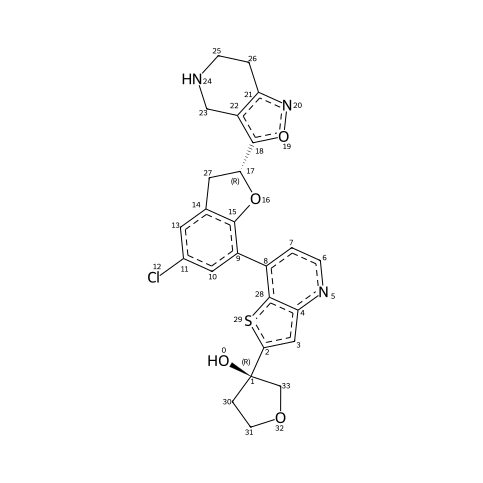 O[C@]1(c2cc3nccc(-c4cc(Cl)cc5c4O[C@@H](c4onc6c4CNCC6)C5)c3s2)CCOC1